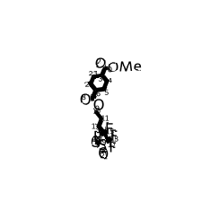 COC(=O)C1CCC(C(=O)OCCCC(F)(F)C(F)(F)[SH](=O)=O)CC1